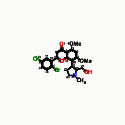 COc1cc(OC)c2c(=O)cc(-c3cc(Cl)ccc3Br)oc2c1C1CCN(C)C1CO